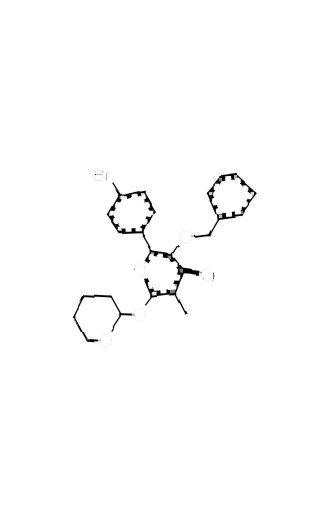 Cc1c(OC2CCCCO2)oc(-c2ccc(Br)cc2)c(OCc2ccccc2)c1=O